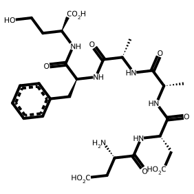 C[C@H](NC(=O)[C@H](C)NC(=O)[C@H](CC(=O)O)NC(=O)[C@@H](N)CC(=O)O)C(=O)N[C@@H](Cc1ccccc1)C(=O)N[C@@H](CCO)C(=O)O